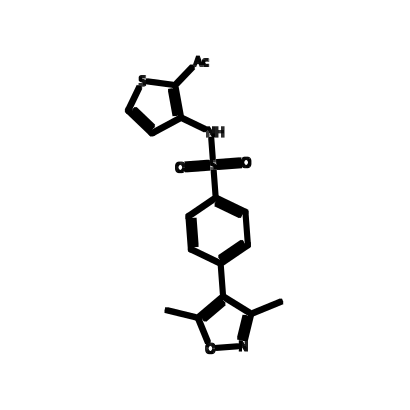 CC(=O)c1sccc1NS(=O)(=O)c1ccc(-c2c(C)noc2C)cc1